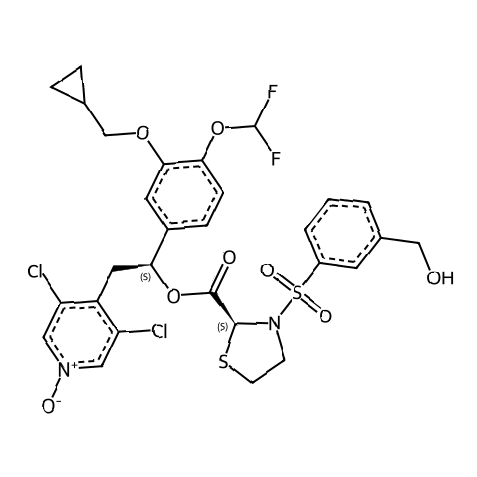 O=C(O[C@@H](Cc1c(Cl)c[n+]([O-])cc1Cl)c1ccc(OC(F)F)c(OCC2CC2)c1)[C@@H]1SCCN1S(=O)(=O)c1cccc(CO)c1